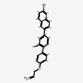 C=CCOc1ccc(-c2ccc(-c3ccc4cc(CC)ccc4c3)cc2F)cc1